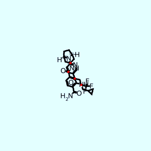 NC(=O)c1ccc(C(=O)N[C@H]2C[C@H]3CC[C@@H](C2)N3c2ccc(C(=O)CCC(F)(F)F)cn2)cc1NCC1CC1